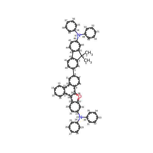 CC1(C)c2cc(-c3ccc4c(c3)c3ccccc3c3c5ccc(N(c6ccccc6)c6ccccc6)cc5oc43)ccc2-c2ccc(N(c3ccccc3)c3ccccc3)cc21